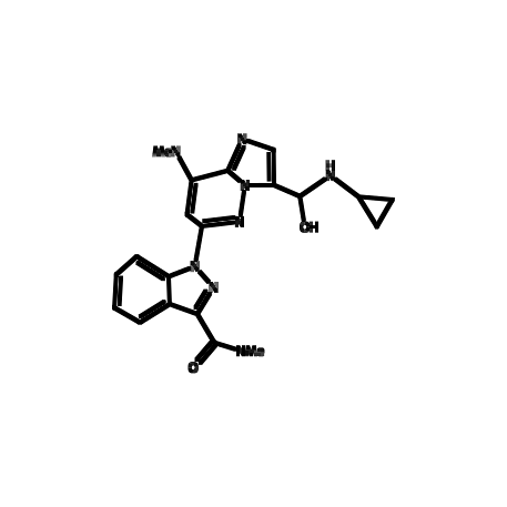 CNC(=O)c1nn(-c2cc(NC)c3ncc(C(O)NC4CC4)n3n2)c2ccccc12